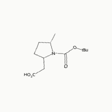 CC1CCC(CC(=O)O)N1C(=O)OC(C)(C)C